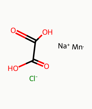 O=C(O)C(=O)O.[Cl-].[Mn].[Na+]